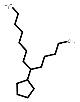 CCCCCCCC(CCCCC)C1CCCC1